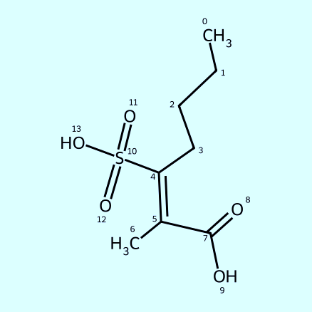 CCCC/C(=C(/C)C(=O)O)S(=O)(=O)O